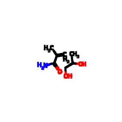 C=C(C)C(N)=O.CC(O)CO